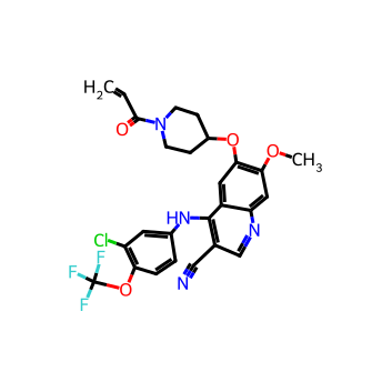 C=CC(=O)N1CCC(Oc2cc3c(Nc4ccc(OC(F)(F)F)c(Cl)c4)c(C#N)cnc3cc2OC)CC1